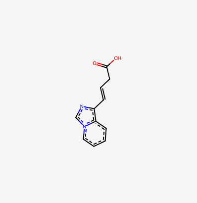 O=C(O)C/C=C/c1ncn2ccccc12